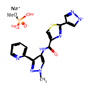 COP(=O)(O)O.Cn1cc(NC(=O)c2csc(-c3cn[n-]c3)n2)c(-c2ccccn2)n1.[Na+]